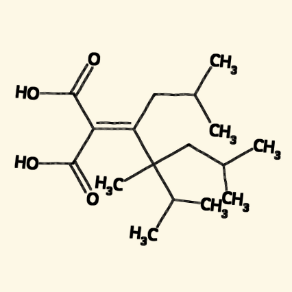 CC(C)CC(=C(C(=O)O)C(=O)O)C(C)(CC(C)C)C(C)C